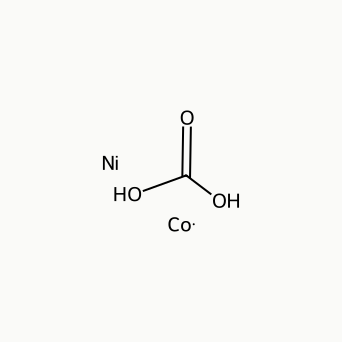 O=C(O)O.[Co].[Ni]